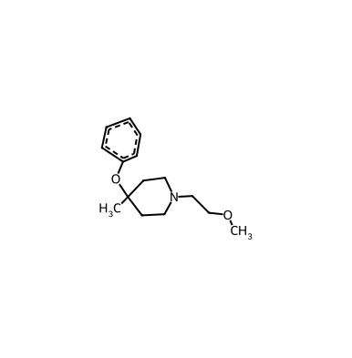 COCCN1CCC(C)(Oc2ccccc2)CC1